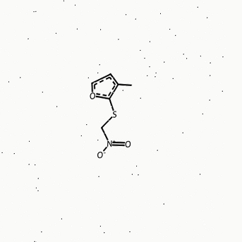 Cc1ccoc1SC[N+](=O)[O-]